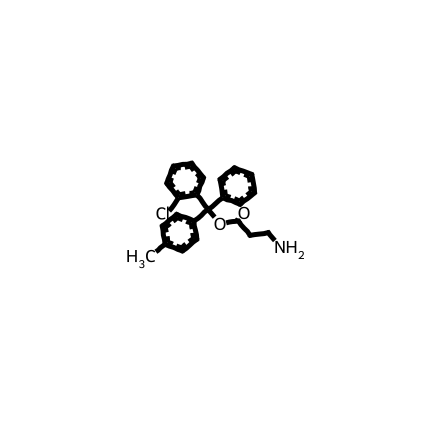 Cc1ccc(C(OC(=O)CCN)(c2ccccc2)c2ccccc2Cl)cc1